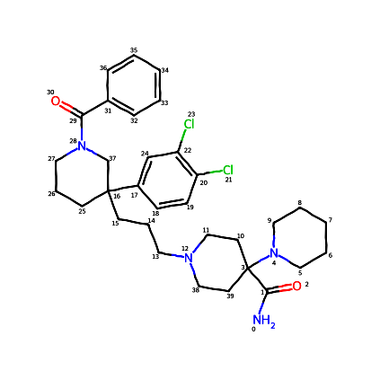 NC(=O)C1(N2CCCCC2)CCN(CCCC2(c3ccc(Cl)c(Cl)c3)CCCN(C(=O)c3ccccc3)C2)CC1